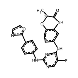 C[C@@H]1Oc2ccc(Nc3nc(Nc4ccc(-c5ncco5)cc4)ncc3F)cc2NC1=O